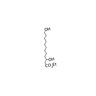 CCOC(=O)CC(O)CCCCCCCCCO